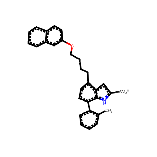 Cc1ccccc1-c1ccc(CCCCOc2ccc3ccccc3c2)c2cc(C(=O)O)[nH]c12